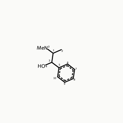 [CH2+][N-]C(C)C(O)c1ccccc1